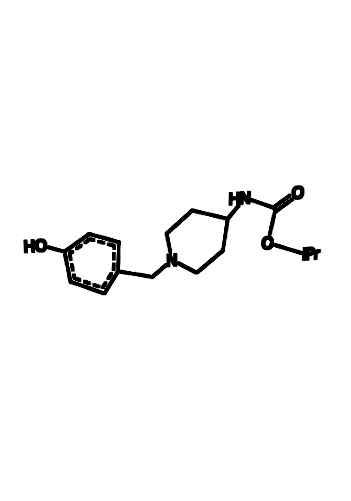 CC(C)OC(=O)NC1CCN(Cc2ccc(O)cc2)CC1